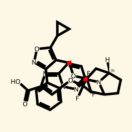 O=C(O)c1cn2nc(N3C4CC[C@H]3CC(OCc3c(-c5ccccc5OC(F)(F)F)noc3C3CC3)C4)ccc2n1